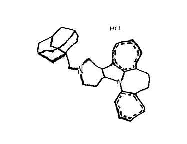 Cl.c1ccc2c(c1)CCc1cccc3c1N2C1CCN(CC24CC5CC(CC(C5)C2)C4)CC31